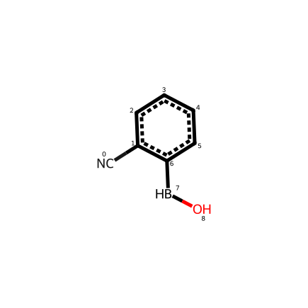 N#Cc1ccccc1BO